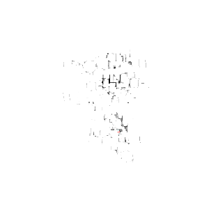 CC[C@H](C)[C@@H]([C@@H](CC(=O)N1CCC[C@H]1[C@H](OC)[C@@H](C)C(C)(CO)N[C@@H](Cc1ccccc1)c1nccs1)OC)N(C)C(=O)[C@@H](NC(=O)[C@H](C(C)C)N(C)Cc1ccc(N)cc1)C(C)C